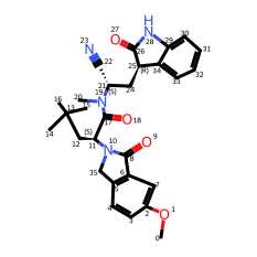 COc1ccc2c(c1)C(=O)N([C@@H](CC(C)(C)C)C(=O)N(C)[C@H](C#N)C[C@H]1C(=O)Nc3ccccc31)C2